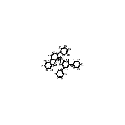 C1=CCCC(c2cc(-c3ccccc3)nc(N3C4C=CC=CC4C4C=CC5c6ccccc6SC5[C@@H]43)c2)=C1